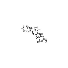 COC(=O)C[C@H](NC(=O)[C@@H]1CCCN1C(=O)c1cc2ccccc2[nH]1)C(=O)CF